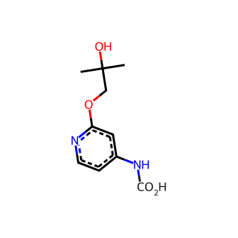 CC(C)(O)COc1cc(NC(=O)O)ccn1